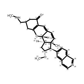 CNCC1CC(=O)C2=C(C1)O[C@@H]1C(=C2)C=C[C@@]2(C)[C@H]1C[C@@H](OC)[C@@H]2c1ccc2cnccc2c1